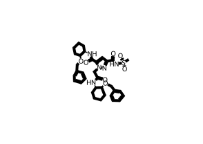 CS(=O)(=O)NC(=O)c1cc(C(=O)N[C@H]2CCCC[C@@H]2OCc2ccccc2)n(CC(=O)N[C@H]2CCCC[C@@H]2OCc2ccccc2)n1